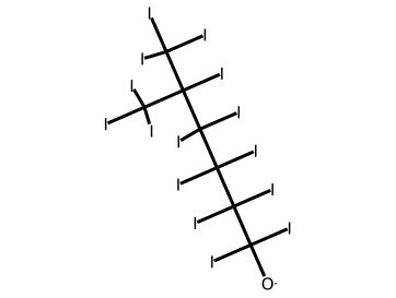 [O]C(I)(I)C(I)(I)C(I)(I)C(I)(I)C(I)(C(I)(I)I)C(I)(I)I